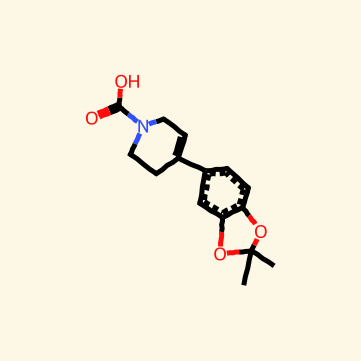 CC1(C)Oc2ccc(C3=CCN(C(=O)O)CC3)cc2O1